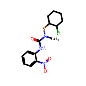 CN(SC1CCCCC1Cl)C(=O)Nc1ccccc1[N+](=O)[O-]